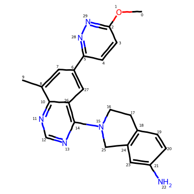 COc1ccc(-c2cc(C)c3ncnc(N4CCc5ccc(N)cc5C4)c3c2)nn1